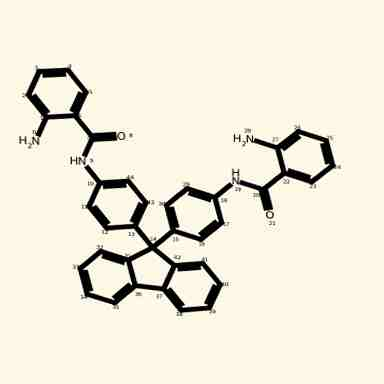 Nc1ccccc1C(=O)Nc1ccc(C2(c3ccc(NC(=O)c4ccccc4N)cc3)c3ccccc3-c3ccccc32)cc1